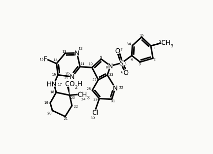 Cc1ccc(S(=O)(=O)n2cc(-c3ncc(F)c(NC4CCCC[C@]4(C)C(=O)O)n3)c3cc(Cl)cnc32)cc1